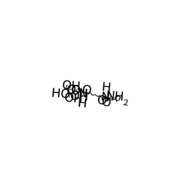 N[C@@H](Cc1ccccc1)C(=O)NC(=O)CCCCCCC(=O)NCCO[C@H]1O[C@H](CO)[C@@H](O)[C@H](O)[C@@H]1O